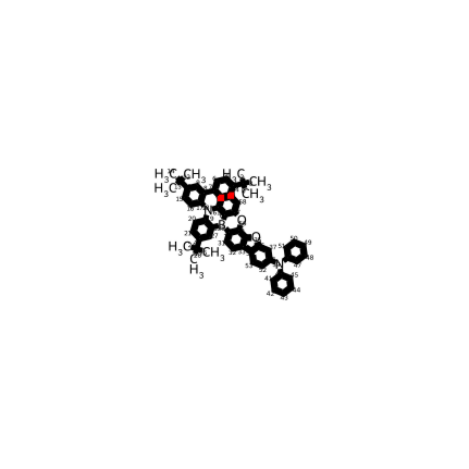 CC(C)(C)c1ccc(-c2cc(C(C)(C)C)ccc2N2c3ccc(C(C)(C)C)cc3B3c4ccc5c(oc6cc(N(c7ccccc7)c7ccccc7)ccc65)c4Oc4cccc2c43)cc1